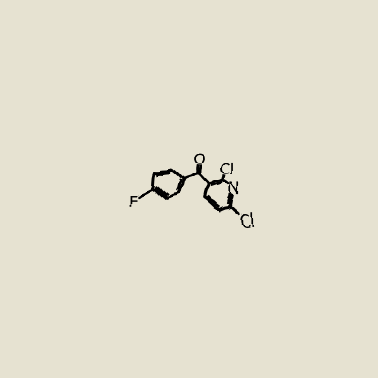 O=C(c1ccc(F)cc1)c1ccc(Cl)nc1Cl